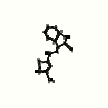 Cc1cc(N/C=C2/C(=O)Nc3ccccc32)n[nH]1